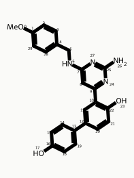 COc1ccc(CNc2cc(-c3cc(-c4ccc(O)cc4)ccc3O)nc(N)n2)cc1